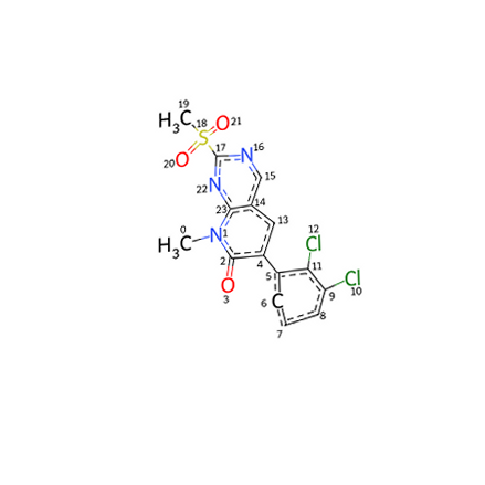 Cn1c(=O)c(-c2cccc(Cl)c2Cl)cc2cnc(S(C)(=O)=O)nc21